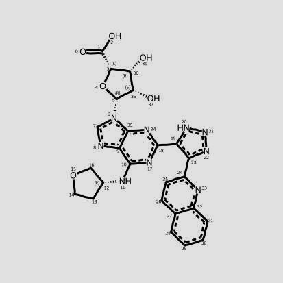 O=C(O)[C@H]1O[C@@H](n2cnc3c(N[C@@H]4CCOC4)nc(-c4[nH]nnc4-c4ccc5ccccc5n4)nc32)[C@@H](O)[C@H]1O